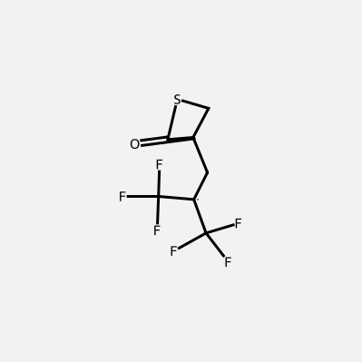 O=C1SCC1C[C](C(F)(F)F)C(F)(F)F